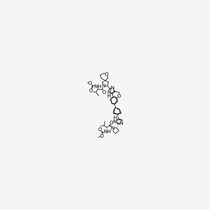 COC(=O)N[C@H](C(=O)N1C[C@]2(CCCOC2)C[C@H]1c1nc2c([nH]1)-c1ccc(-c3ccc(-c4cnc([C@@H]5CCCN5C(=O)[C@H](NC(=O)OC)C(C)C)[nH]4)cc3)cc1OC2)C(C)C